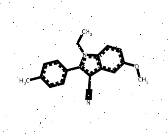 CCn1c(-c2ccc(C)cc2)c(C#N)c2cc(OC)ccc21